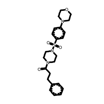 O=C(CCc1ccccc1)N1CCN(S(=O)(=O)c2ccc(N3CCOCC3)cc2)CC1